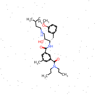 CCCN(CCC)C(=O)c1cc(C)cc(C(=O)N[C@@H](Cc2cccc(OC)c2)[C@H](O)CNCCC(C)C)c1